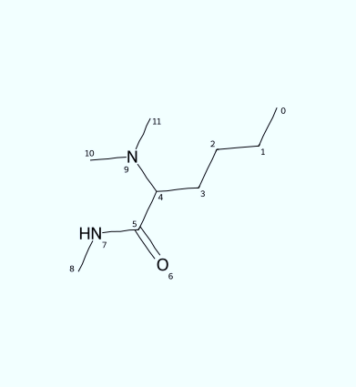 CCCCC(C(=O)NC)N(C)C